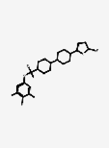 CCCC1CCC(C2CCC(C3CCC(C(F)(F)Oc4cc(F)c(F)c(F)c4)CC3)CC2)O1